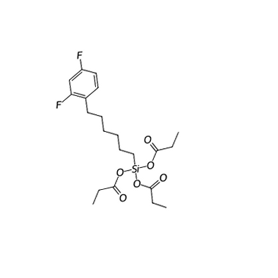 CCC(=O)O[Si](CCCCCCc1ccc(F)cc1F)(OC(=O)CC)OC(=O)CC